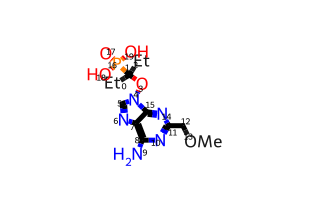 CCC(CC)(On1cnc2c(N)nc(COC)nc21)P(=O)(O)O